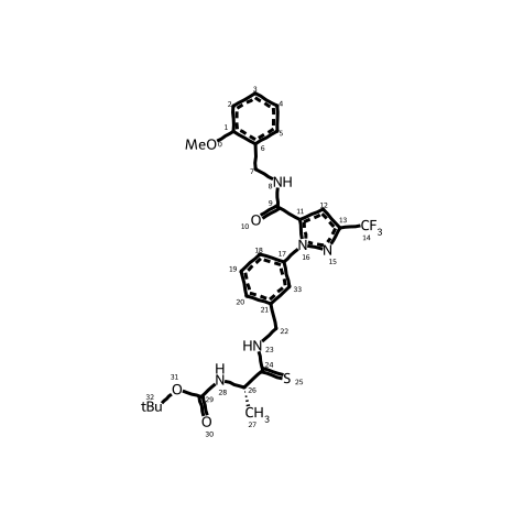 COc1ccccc1CNC(=O)c1cc(C(F)(F)F)nn1-c1cccc(CNC(=S)[C@H](C)NC(=O)OC(C)(C)C)c1